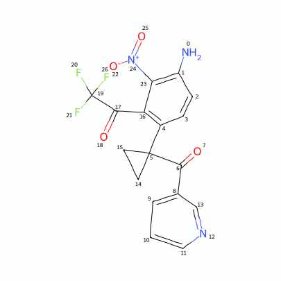 Nc1ccc(C2(C(=O)c3cccnc3)CC2)c(C(=O)C(F)(F)F)c1[N+](=O)[O-]